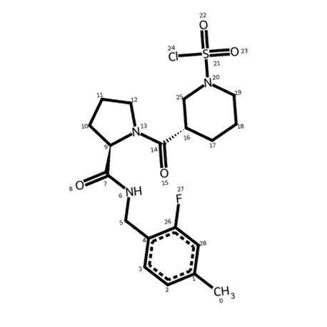 Cc1ccc(CNC(=O)[C@H]2CCCN2C(=O)[C@H]2CCCN(S(=O)(=O)Cl)C2)c(F)c1